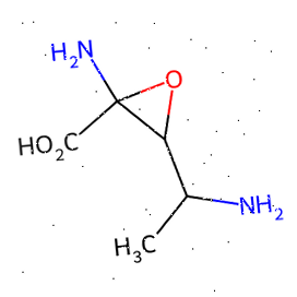 CC(N)C1OC1(N)C(=O)O